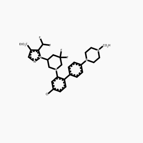 CCOC(=O)c1cnn(C2CN(c3cc(Cl)ccc3-c3ccc(N4CCN(C(=O)O)CC4)cc3)CC(F)(F)C2)c1C(F)F